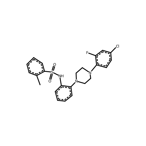 Cc1ccccc1S(=O)(=O)Nc1ccccc1N1CCN(c2ccc(Cl)cc2F)CC1